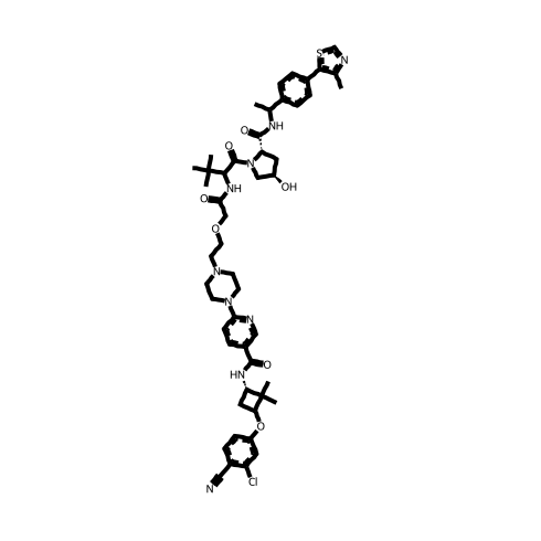 Cc1ncsc1-c1ccc(C(C)NC(=O)[C@@H]2C[C@@H](O)CN2C(=O)C(NC(=O)COCCN2CCN(c3ccc(C(=O)N[C@H]4CC(Oc5ccc(C#N)c(Cl)c5)C4(C)C)cn3)CC2)C(C)(C)C)cc1